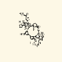 C=CC(=O)N1CC[C@H](C(=O)N(C)[C@H](C(=O)N[C@H]2Cc3cc(O)cc(c3)-c3ccc4c(c3)c(c(-c3cccnc3COC)n4CC)CC(C)(C)COC(=O)[C@@H]3CCCN(N3)C2=O)C2CCCC2)C1